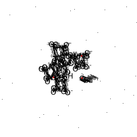 CC(C(=O)NCC(=O)NCC(CNC(=O)CNC(=O)C(C)N1CCN(CC(=O)[O-])CCN(CC(=O)[O-])CCN(CC(=O)[O-])CC1)(CNC(=O)CNC(=O)C(C)N1CCN(CC(=O)[O-])CCN(CC(=O)[O-])CCN(CC(=O)[O-])CC1)CNC(=O)CNC(=O)C(C)N1CCN(CC(=O)[O-])CCN(CC(=O)[O-])CCN(CC(=O)[O-])CC1)N1CCN(CC(=O)[O-])CCN(CC(=O)[O-])CCN(CC(=O)[O-])CC1.[Gd+3].[Gd+3].[Gd+3].[Gd+3]